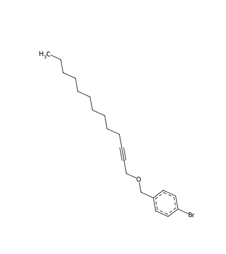 CCCCCCCCCCC#CCOCc1ccc(Br)cc1